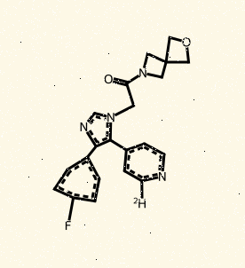 [2H]c1cc(-c2c(-c3ccc(F)cc3)ncn2CC(=O)N2CC3(COC3)C2)ccn1